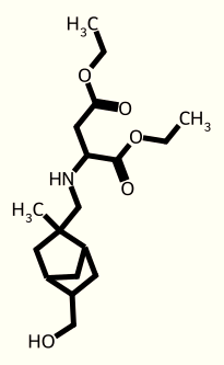 CCOC(=O)CC(NCC1(C)CC2CC1CC2CO)C(=O)OCC